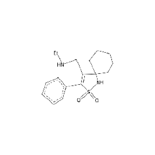 CCNCC1=C(c2ccccc2)S(=O)(=O)NC12CCCCC2